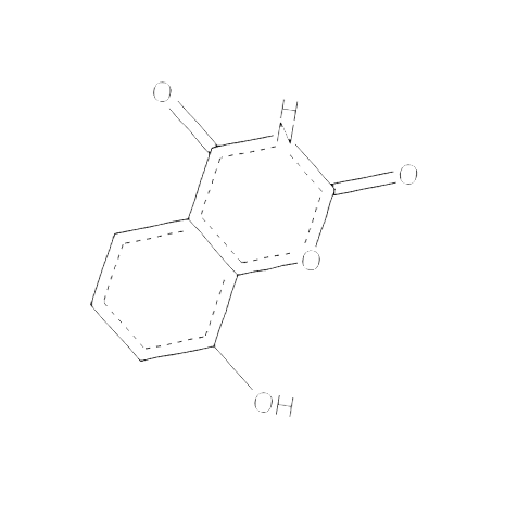 O=c1[nH]c(=O)c2cccc(O)c2o1